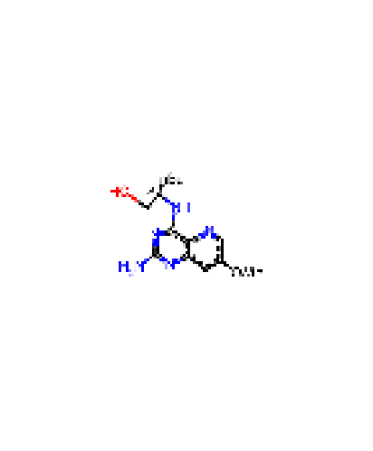 CCCC[C@H](CO)Nc1nc(N)nc2cc(OC)cnc12